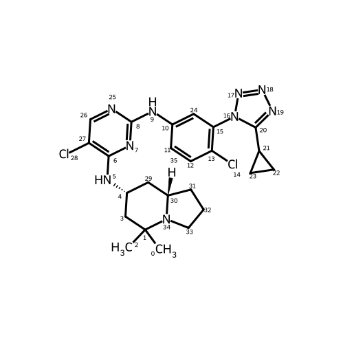 CC1(C)C[C@H](Nc2nc(Nc3ccc(Cl)c(-n4nnnc4C4CC4)c3)ncc2Cl)C[C@@H]2CCCN21